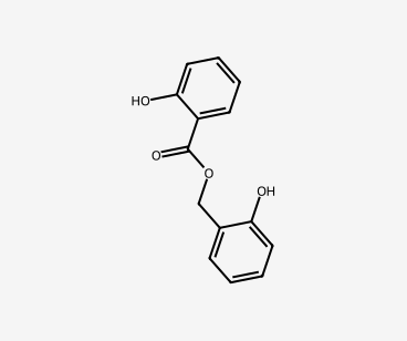 O=C(OCc1ccccc1O)c1ccccc1O